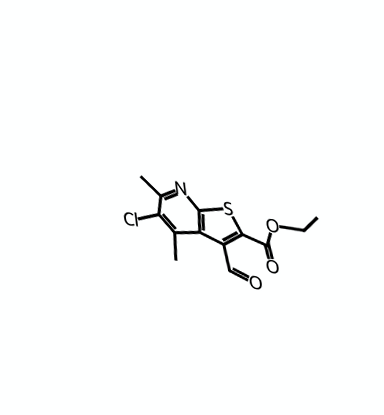 CCOC(=O)c1sc2nc(C)c(Cl)c(C)c2c1C=O